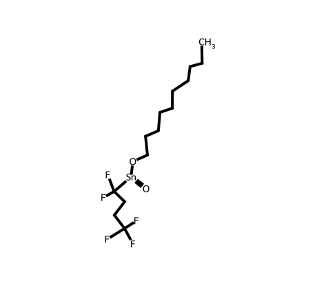 CCCCCCCCCC[O][Sn](=[O])[C](F)(F)CCC(F)(F)F